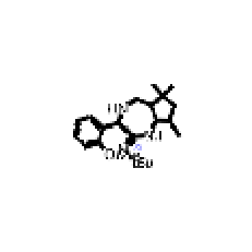 COc1ccccc1C1NCC2C(N/C1=N\C(C)(C)C)C(C)CC2(C)C